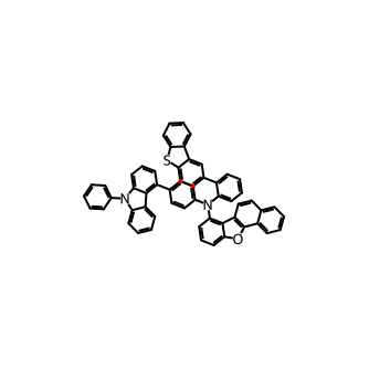 c1ccc(-n2c3ccccc3c3c(-c4ccc(N(c5ccccc5-c5ccc6sc7ccccc7c6c5)c5cccc6oc7c8ccccc8ccc7c56)cc4)cccc32)cc1